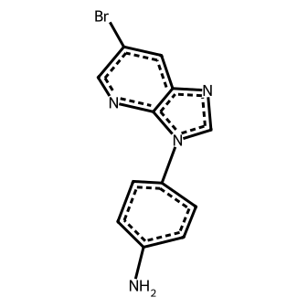 Nc1ccc(-n2cnc3cc(Br)cnc32)cc1